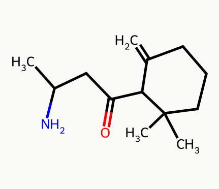 C=C1CCCC(C)(C)C1C(=O)CC(C)N